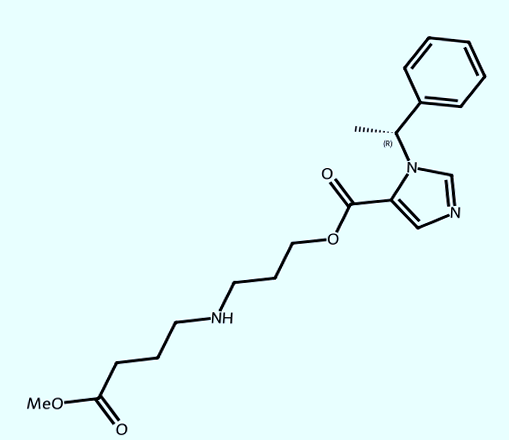 COC(=O)CCCNCCCOC(=O)c1cncn1[C@H](C)c1ccccc1